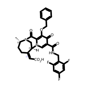 C[C@H]1CC/C(=C/C(=O)O)[C@H]2CN1C(=O)c1c(OCc3ccccc3)c(=O)c(C(=O)NCc3c(F)cc(F)cc3F)cn12